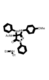 CCNCC.COc1ccc(NC2=NN(c3ccccc3)C(=O)C2(NC(C)=O)Nc2ccccc2)cc1